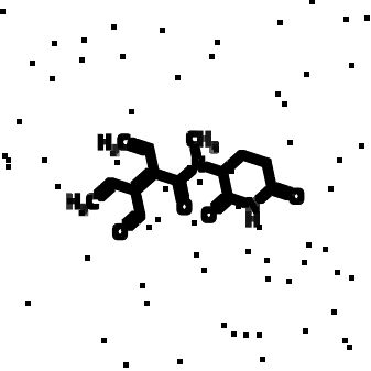 C=C/C(C=O)=C(\C=C)C(=O)N(C)C1CCC(=O)NC1=O